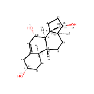 C[C@]12CC[C@H]3[C@@H]([C@@H](O)C=C4C[C@@H](O)CC[C@@]43C)[C@@H]1CC[C@@H]2O